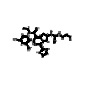 CCOC(=O)C1=C2CC(NC(=O)OCCCl)CN2C(c2nccs2)=N[C@H]1c1ccc(F)cc1Br